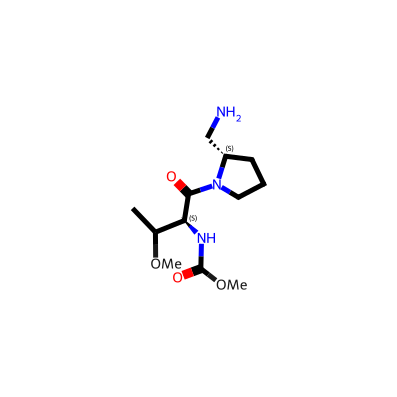 COC(=O)N[C@H](C(=O)N1CCC[C@H]1CN)C(C)OC